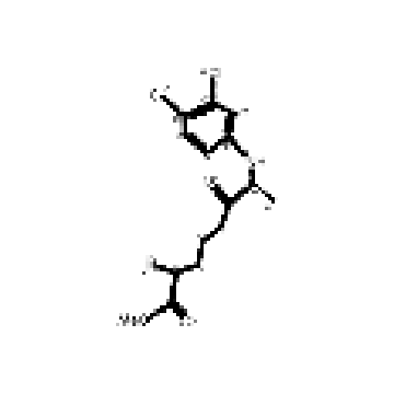 COC(=O)C(N)CCCC(=O)[C@H](C)Nc1ccc(Cl)c(Cl)c1